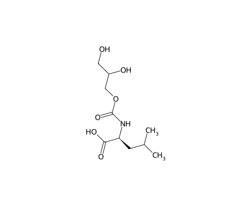 CC(C)C[C@H](NC(=O)OCC(O)CO)C(=O)O